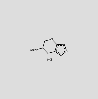 CNC1COc2cscc2C1.Cl